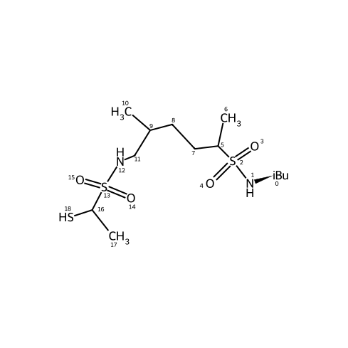 CC[C@H](C)NS(=O)(=O)C(C)CCC(C)CNS(=O)(=O)C(C)S